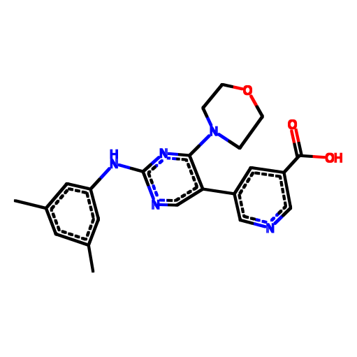 Cc1cc(C)cc(Nc2ncc(-c3cncc(C(=O)O)c3)c(N3CCOCC3)n2)c1